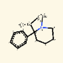 C[SiH](C)C1(c2ccccc2)CCCCN1C(C)(C)C